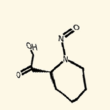 O=NN1CCCC[C@H]1C(=O)O